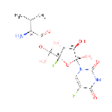 BC(B)(OC(=O)[C@@H](N)C(C)C)[C@]1(F)C[C@@H](O)[C@](B)(n2cc(F)c(=O)[nH]c2=O)O1